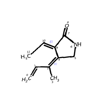 C=C/C(C)=C1/CNC(=O)/C1=C/C